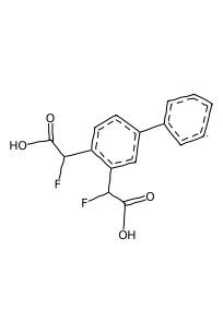 O=C(O)C(F)c1ccc(-c2c[c]ccc2)cc1C(F)C(=O)O